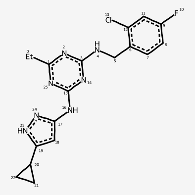 CCc1nc(NCc2ccc(F)cc2Cl)nc(Nc2cc(C3CC3)[nH]n2)n1